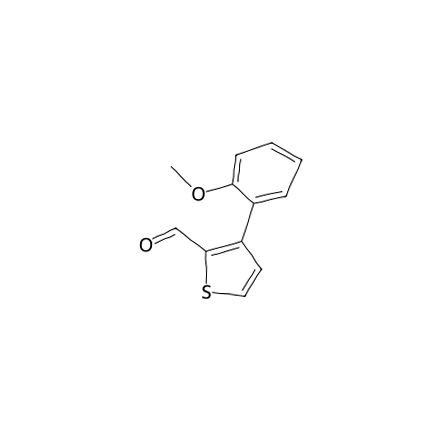 COc1ccccc1-c1ccsc1C=O